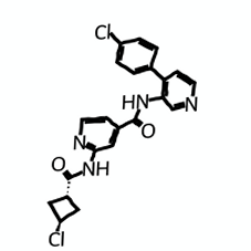 O=C(Nc1cnccc1-c1ccc(Cl)cc1)c1ccnc(NC(=O)[C@H]2C[C@H](Cl)C2)c1